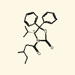 CCC(C)CC(=O)N1C(=O)OC(c2ccccc2)(c2ccccc2)[C@H]1C(C)C